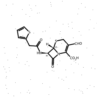 O=CC1=C(C(=O)O)N2C(=O)[C@@H](NC(=O)Cc3cccs3)[C@@H]2SC1